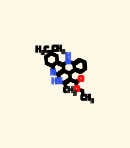 CCOC(=O)C1=C(C)Nc2nc3c(c4c2C1c1ccccc1N4)CC(C)(C)CC3